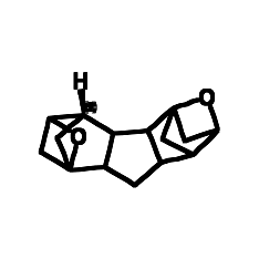 C1C2C3CC4(CC3O4)C2C2C1C13CC(O1)[C@H]2C3